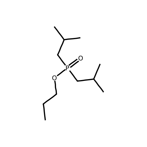 CCCOP(=O)(CC(C)C)CC(C)C